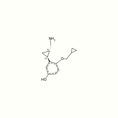 NC[C@H]1C[C@@H]1c1cc(O)ccc1OCC1CC1